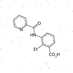 CCc1c(NC(=O)c2ccccn2)cccc1C(=O)O